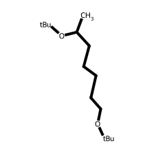 CC(CCCCCOC(C)(C)C)OC(C)(C)C